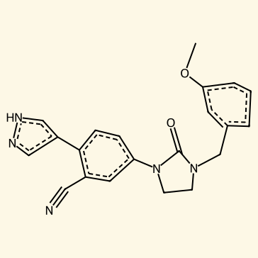 COc1cccc(CN2CCN(c3ccc(-c4cn[nH]c4)c(C#N)c3)C2=O)c1